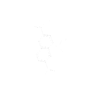 CN(C)c1ccc2cc(B(O)O)ccc2c1.OBO